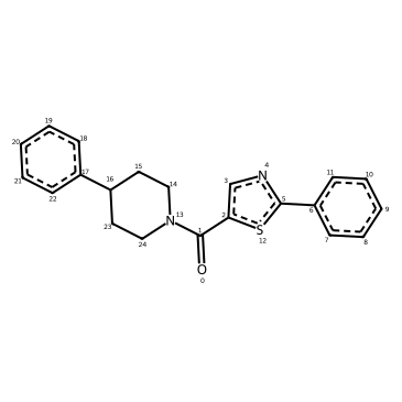 O=C(c1cnc(-c2ccccc2)s1)N1CCC(c2ccccc2)CC1